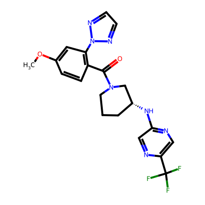 COc1ccc(C(=O)N2CCC[C@@H](Nc3cnc(C(F)(F)F)cn3)C2)c(-n2nccn2)c1